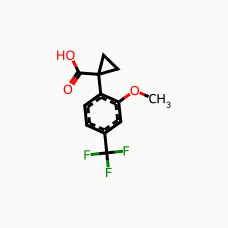 COc1cc(C(F)(F)F)ccc1C1(C(=O)O)CC1